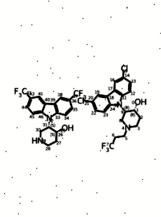 O[C@@H]1CCN(CCC(F)(F)F)C[C@H]1n1c2ccc(Cl)cc2c2cc(Cl)ccc21.O[C@H]1CCNC[C@@H]1n1c2ccc(C(F)(F)F)cc2c2cc(C(F)(F)F)ccc21